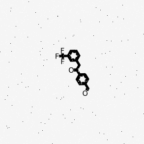 O=Cc1ccc(C(=O)Cc2cccc(C(F)(F)F)c2)cc1